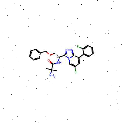 CC(C)(N)C(=O)N[C@H](COCc1ccccc1)c1nnc2c(-c3ccccc3F)cc(Cl)cn12